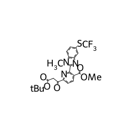 COC(=O)c1ccc(C(=O)CC(=O)OC(C)(C)C)nc1-c1nc2cc(SC(F)(F)F)ccc2n1C